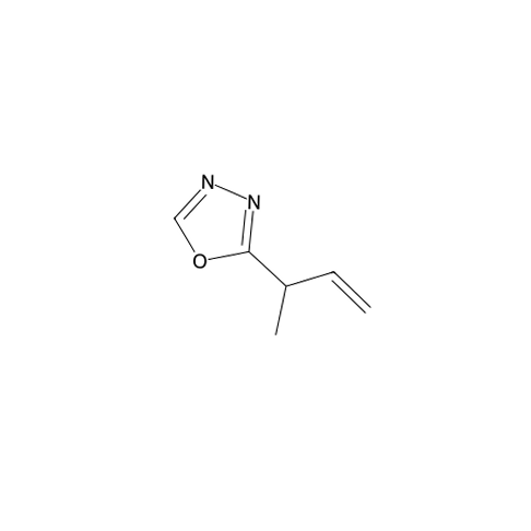 C=CC(C)c1nnco1